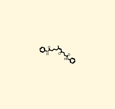 C/C(=C/C(=O)CCC(=O)Nc1ccccc1)CCCC(=O)Nc1ccccc1